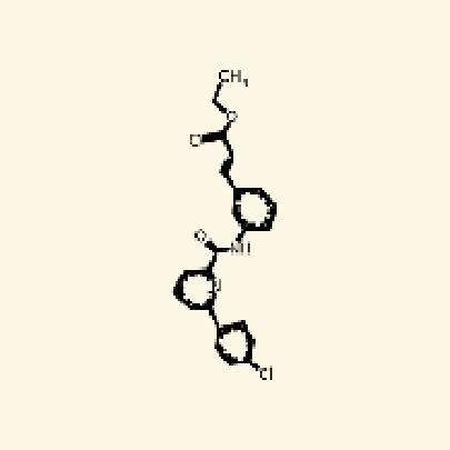 CCOC(=O)C=Cc1cccc(NC(=O)c2cccc(-c3ccc(Cl)cc3)n2)c1